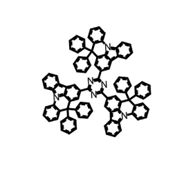 c1ccc(C2(c3ccccc3)c3ccccc3-n3c4ccccc4c4cc(-c5nc(-c6cc7c8c(c6)c6ccccc6n8-c6ccccc6C7(c6ccccc6)c6ccccc6)nc(-c6cc7c8c(c6)c6ccccc6n8-c6ccccc6C7(c6ccccc6)c6ccccc6)n5)cc2c43)cc1